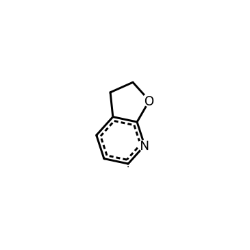 [c]1ccc2c(n1)OCC2